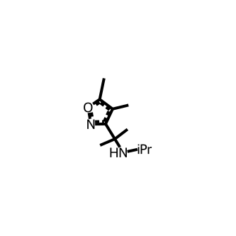 Cc1onc(C(C)(C)NC(C)C)c1C